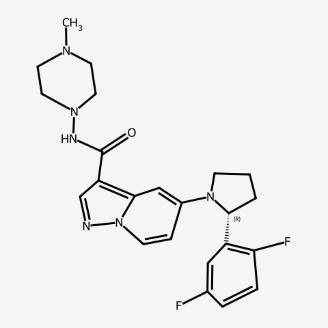 CN1CCN(NC(=O)c2cnn3ccc(N4CCC[C@@H]4c4cc(F)ccc4F)cc23)CC1